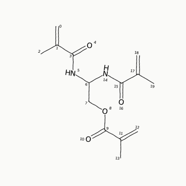 C=C(C)C(=O)NC(COC(=O)C(=C)C)NC(=O)C(=C)C